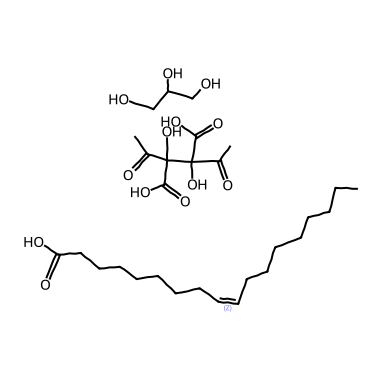 CC(=O)C(O)(C(=O)O)C(O)(C(C)=O)C(=O)O.CCCCCCCC/C=C\CCCCCCCC(=O)O.OCC(O)CO